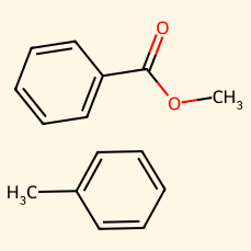 COC(=O)c1ccccc1.Cc1ccccc1